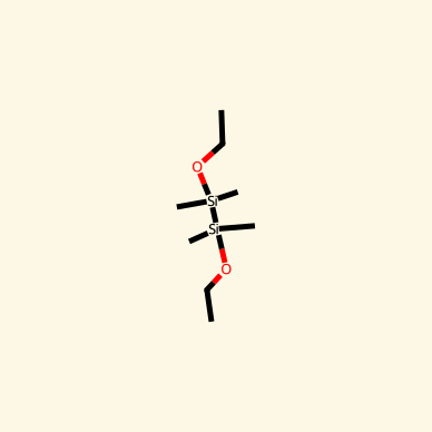 CCO[Si](C)(C)[Si](C)(C)OCC